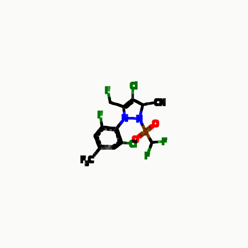 N#CC1C(Cl)=C(CF)N(c2c(F)cc(C(F)(F)F)cc2Cl)N1S(=O)(=O)C(F)F